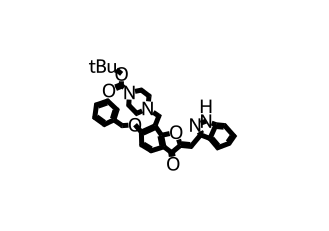 CC(C)(C)OC(=O)N1CCN(Cc2c(OCc3ccccc3)ccc3c2O/C(=C\c2n[nH]c4ccccc24)C3=O)CC1